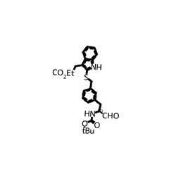 CCOC(=O)Cc1c(SCc2cccc(C[C@@H](C=O)NC(=O)OC(C)(C)C)c2)[nH]c2ccccc12